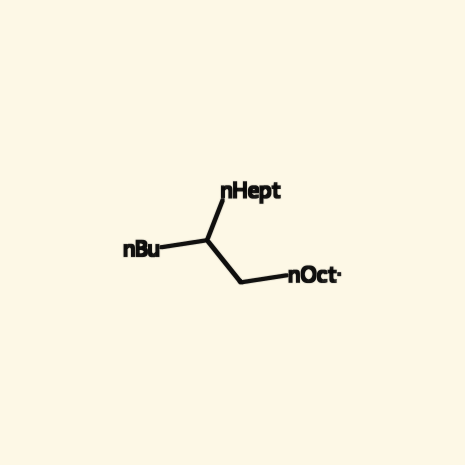 CCCCCCC[CH]CC(CCCC)CCCCCCC